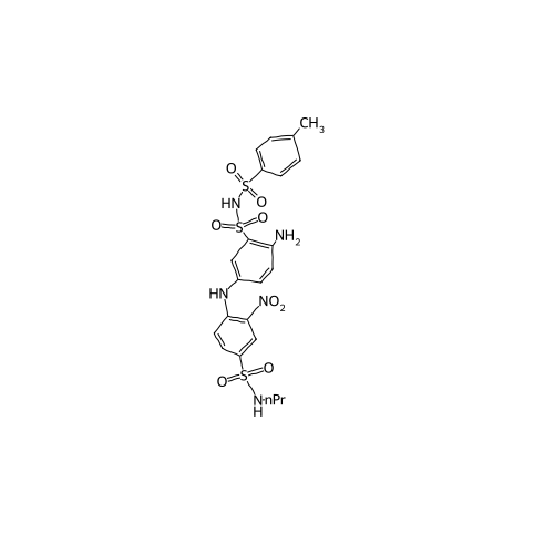 CCCNS(=O)(=O)c1ccc(Nc2ccc(N)c(S(=O)(=O)NS(=O)(=O)c3ccc(C)cc3)c2)c([N+](=O)[O-])c1